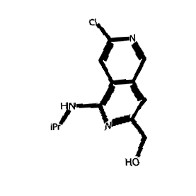 CC(C)Nc1nc(CO)cc2cnc(Cl)cc12